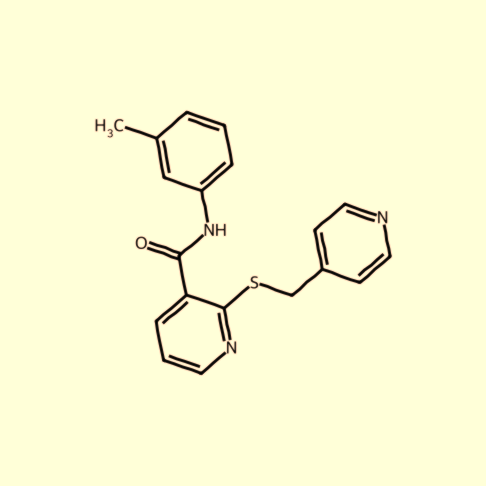 Cc1cccc(NC(=O)c2cccnc2SCc2ccncc2)c1